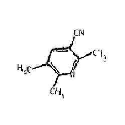 Cc1cc(C#N)c(C)nc1C